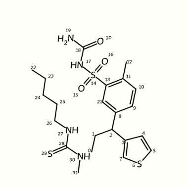 CCC(c1ccsc1)c1ccc(C)c(S(=O)(=O)NC(N)=O)c1.CCCCCNC(=S)NC